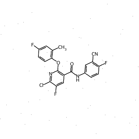 Cc1cc(F)ccc1Oc1nc(Cl)c(F)cc1C(=O)Nc1ccc(F)c(C#N)c1